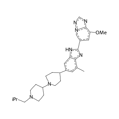 COc1cc(-c2nc3c(C)cc(C4CCN(C5CCN(CC(C)C)CC5)CC4)cc3[nH]2)cn2ncnc12